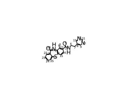 Cc1c(C(=O)NCCc2cncnc2)ccc2c1NC(=O)c1ccccc1S2